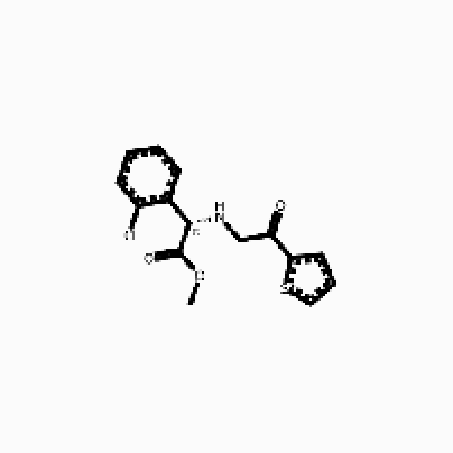 COC(=O)[C@@H](NCC(=O)c1cccs1)c1ccccc1Cl